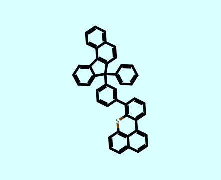 c1ccc(C2(c3cccc(-c4cccc5c4Sc4cccc6cccc-5c46)c3)c3ccccc3-c3c2ccc2ccccc32)cc1